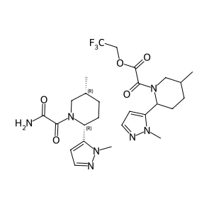 CC1CCC(c2ccnn2C)N(C(=O)C(=O)OCC(F)(F)F)C1.C[C@@H]1CC[C@H](c2ccnn2C)N(C(=O)C(N)=O)C1